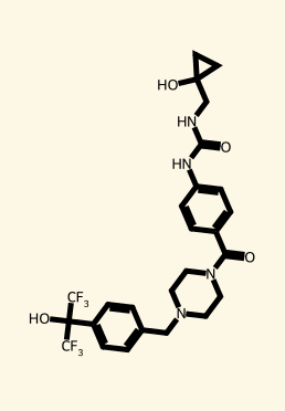 O=C(NCC1(O)CC1)Nc1ccc(C(=O)N2CCN(Cc3ccc(C(O)(C(F)(F)F)C(F)(F)F)cc3)CC2)cc1